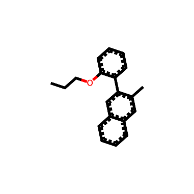 CCCOc1ccccc1-c1cc2ccccc2cc1C